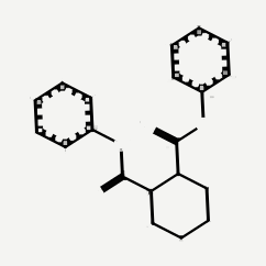 O=C(Oc1ccccc1)C1CCCCC1C(=O)Oc1ccccc1